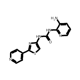 Nc1cccnc1NC(=O)Nc1csc(-c2ccncc2)n1